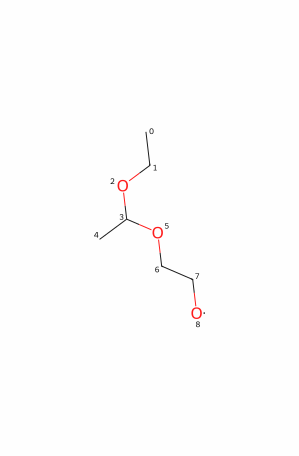 CCOC(C)OCC[O]